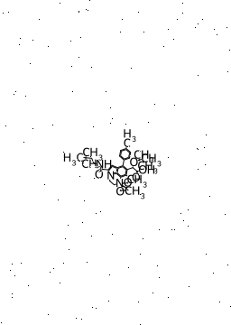 Cc1ccc(-c2c([C@H](OC(C)(C)C)C(=O)O)c(C)c3c4c2cc(C(=O)NCCC(C)(C)C)n4CCN3S(C)(=O)=O)cc1